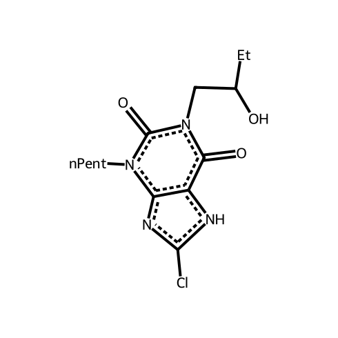 CCCCCn1c(=O)n(CC(O)CC)c(=O)c2[nH]c(Cl)nc21